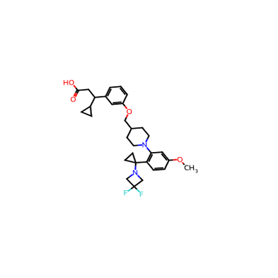 COc1ccc(C2(N3CC(F)(F)C3)CC2)c(N2CCC(COc3cccc(C(CC(=O)O)C4CC4)c3)CC2)c1